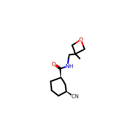 CC1(CNC(=O)[C@@H]2CCC[C@H](C#N)C2)COC1